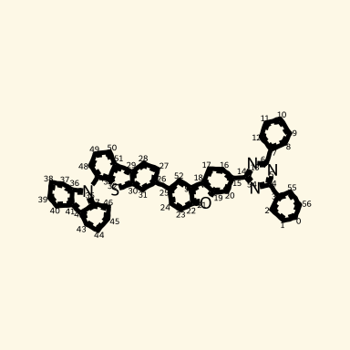 c1ccc(-c2nc(-c3ccccc3)nc(-c3ccc4c(c3)oc3ccc(-c5ccc6c(c5)sc5c(-n7c8ccccc8c8ccccc87)cccc56)cc34)n2)cc1